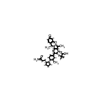 Cc1nn([C@H](C)c2ccc(Cl)cc2Cl)c2nc(C3=CC[C@H](N4CCC[C@H]4CCC(N)=O)[C@H](C)C3)cnc12.O=C(O)C(F)(F)F